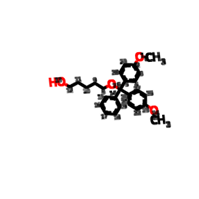 COc1ccc(C(OCCCCCO)(c2ccccc2)c2ccc(OC)cc2)cc1